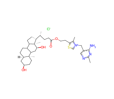 Cc1ncc(C[n+]2csc(CCOC(=O)CC[C@@H](C)[C@H]3CCC4C5CC[C@@H]6C[C@H](O)CC[C@]6(C)C5C[C@H](O)[C@@]43C)c2C)c(N)n1.[Cl-]